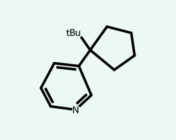 CC(C)(C)C1(c2cccnc2)CCCC1